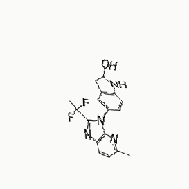 Cc1ccc2nc(C(C)(F)F)n(-c3ccc4c(c3)CC(O)N4)c2n1